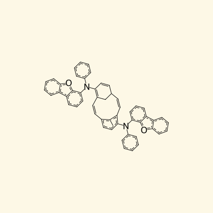 Cc1c2ccc(N(c3ccccc3)c3cccc4c3oc3ccccc34)c1/C=C\C1C=CC(N(c3ccccc3)c3cccc4c3oc3ccccc34)=C(/C=C\2)C1